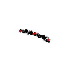 C[C@H]1CCCN1Cc1nc2cc(NC(=O)c3ccc(N4CCN(C(=O)CC5CCN(c6ccc7c(c6)C(=O)N(C6CCC(=O)NC6=O)C7=O)CC5)CC4)cc3)ccc2[nH]1